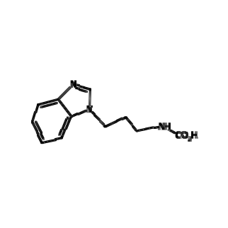 O=C(O)NCCCn1cnc2ccccc21